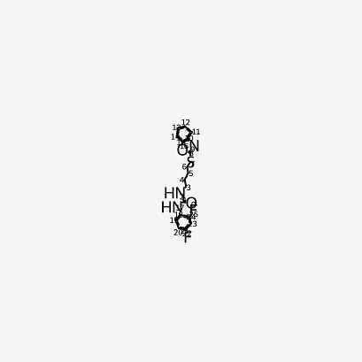 O=C(NCCCCSc1nc2ccccc2o1)Nc1ccc(F)cc1F